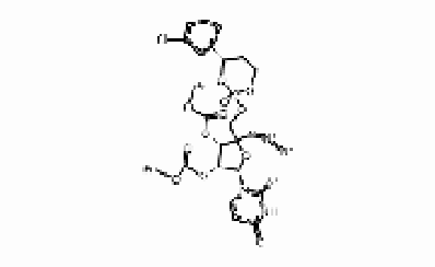 CC(C)OC(=O)O[C@H]1[C@H](n2ccc(=O)[nH]c2=O)O[C@@](COP2(=O)OCC[C@@H](c3cccc(Cl)c3)O2)(N=[N+]=[N-])[C@H]1OC(=O)OC(C)C